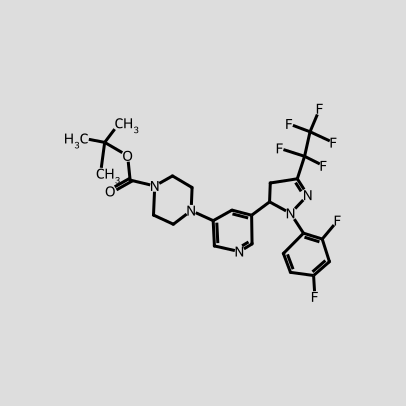 CC(C)(C)OC(=O)N1CCN(c2cncc(C3CC(C(F)(F)C(F)(F)F)=NN3c3ccc(F)cc3F)c2)CC1